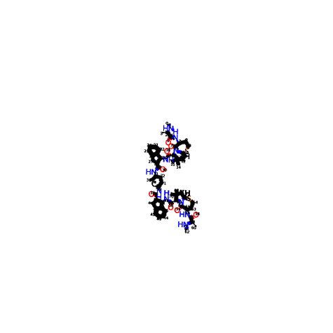 CN[C@@H](C)C(=O)N[C@H]1CCS[C@H]2CC(C)(C)[C@@H](C(=O)N[C@H]3c4ccccc4CC3C(=O)N[C@H]3CC[C@H](NC(=O)[C@@H]4Cc5ccccc5[C@@H]4NC(=O)[C@H]4N5C(=O)[C@@H](NC(=O)[C@H](C)NC)CCS[C@H]5CC4(C)C)CC3)N2C1=O